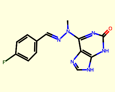 CN(N=Cc1ccc(F)cc1)c1nc(=O)[nH]c2[nH]cnc12